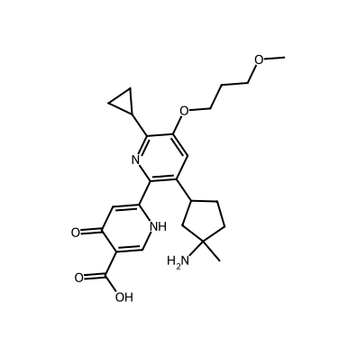 COCCCOc1cc(C2CCC(C)(N)C2)c(-c2cc(=O)c(C(=O)O)c[nH]2)nc1C1CC1